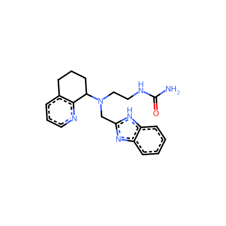 NC(=O)NCCN(Cc1nc2ccccc2[nH]1)C1CCCc2cccnc21